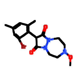 CON1CCN2C(=O)C(c3c(C)cc(C)cc3Br)C(=O)N2CC1